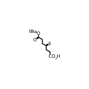 CC(C)(C)OC(=O)CCC(=S)CCC(=O)O